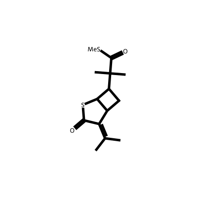 CSC(=O)C(C)(C)C1CC2C(=C(C)C)C(=O)SC21